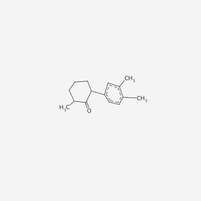 Cc1ccc(C2CCCC(C)C2=O)cc1C